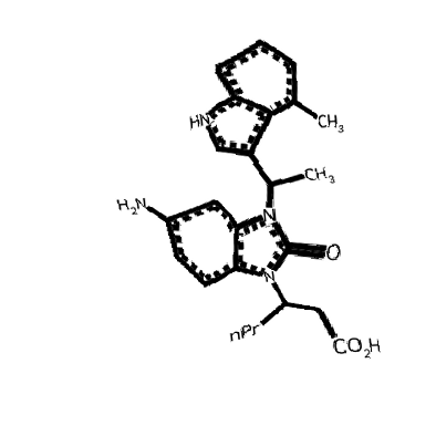 CCCC(CC(=O)O)n1c(=O)n(C(C)c2c[nH]c3cccc(C)c23)c2cc(N)ccc21